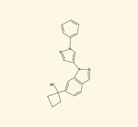 N#CC1(c2ccc3cnn(-c4cnn(-c5ccccc5)c4)c3c2)CCC1